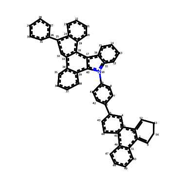 C1=c2c(c3cc(-c4ccc(-n5c6ccccc6c6c7c8ccccc8c(-c8ccccc8)cc7c7ccccc7c65)cc4)ccc3c3ccccc23)=CCC1